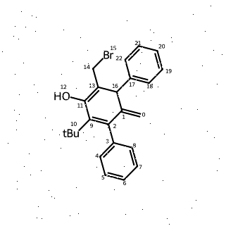 C=C1C(c2ccccc2)=C(C(C)(C)C)C(O)=C(CBr)C1c1ccccc1